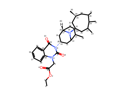 CCOC(=O)Cn1c(=O)n([C@H]2CC3C(C)CC[C@@H](C2)N3[C@@H]2CC(C)C(C)C(C)C[C@H](C)C2)c(=O)c2ccccc21